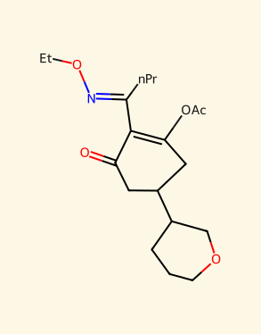 CCCC(=NOCC)C1=C(OC(C)=O)CC(C2CCCOC2)CC1=O